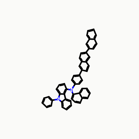 c1ccc(-n2c3ccccc3c3c(N(c4ccc(-c5ccc6cc(-c7ccc8ccccc8c7)ccc6c5)cc4)c4cccc5ccccc45)cccc32)cc1